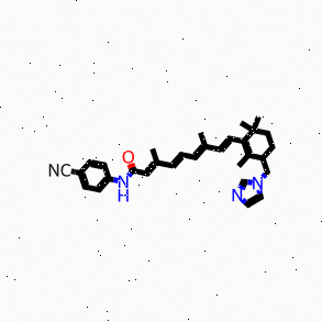 CC1=C(/C=C/C(C)=C/C=C/C(C)=C/C(=O)Nc2ccc(C#N)cc2)C(C)(C)CCC1Cn1ccnc1